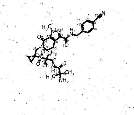 Cn1nc(C(=O)NCc2ccc(C#N)cc2)c2c1C(=O)N(CC1(S(=O)(=O)C(C)(C)CNC(=O)C(C)(C)N)CC1)CC2